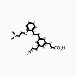 CN(C)CCOc1ccccc1CCc1cc(CCN)cc(CCC(=O)O)c1